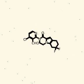 O=Cc1c(Cl)ccnc1N1CCn2c(cc3c2CC(F)(F)CC3)C1=O